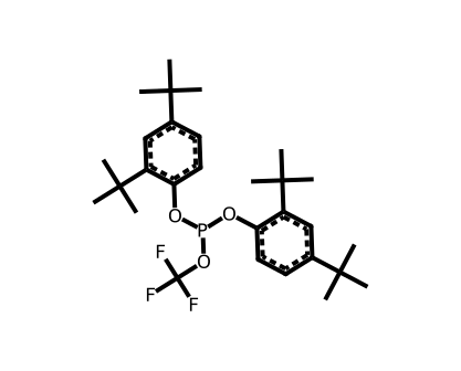 CC(C)(C)c1ccc(OP(Oc2ccc(C(C)(C)C)cc2C(C)(C)C)OC(F)(F)F)c(C(C)(C)C)c1